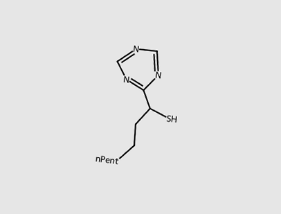 CCCCCCCC(S)c1ncncn1